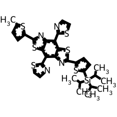 Cc1ccc(-c2nc3c(-c4nccs4)c4sc(-c5ccc([Si](C(C)C)(C(C)C)C(C)C)s5)nc4c(-c4nccs4)c3s2)s1